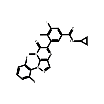 Cc1c(F)cc(C(=O)NC2CC2)cc1-c1nc2cnn(-c3c(F)cccc3F)c2n(C)c1=O